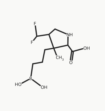 CC1(CCCB(O)O)C(C(=O)O)NCC1C(F)F